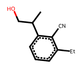 CCc1cccc([C](C)CO)c1C#N